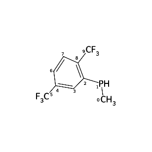 CPc1cc(C(F)(F)F)ccc1C(F)(F)F